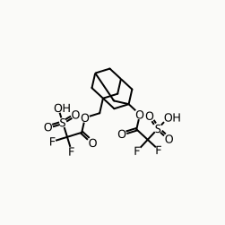 O=C(OCC12CC3CC(C1)CC(OC(=O)C(F)(F)S(=O)(=O)O)(C3)C2)C(F)(F)S(=O)(=O)O